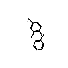 O=[N+]([O-])c1ccc(Oc2ccccc2)c(F)c1